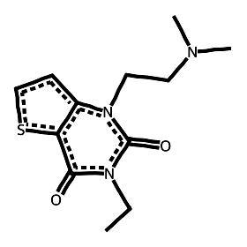 CCn1c(=O)c2sccc2n(CCN(C)C)c1=O